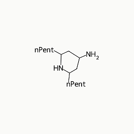 CCCCCC1CC(N)CC(CCCCC)N1